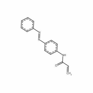 C=CC(=O)Nc1ccc(/N=N/c2ccccc2)cc1